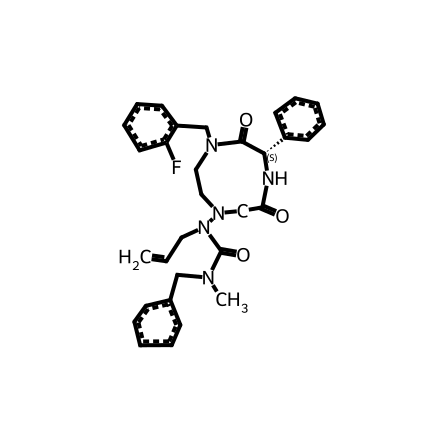 C=CCN(C(=O)N(C)Cc1ccccc1)N1CCN(Cc2ccccc2F)C(=O)[C@H](c2ccccc2)NC(=O)C1